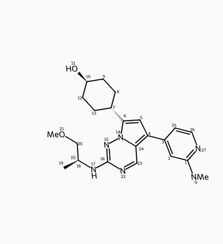 CNc1cc(-c2cc([C@H]3CC[C@H](O)CC3)n3nc(N[C@@H](C)COC)ncc23)ccn1